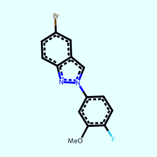 COc1cc(-n2cc3cc(Br)ccc3n2)ccc1F